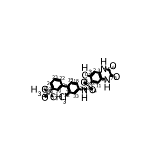 Cc1cc2[nH]c(=O)c(=O)[nH]c2cc1S(=O)(=O)Nc1ccc(-c2cccc(P(C)(C)=O)c2)c(Cl)c1